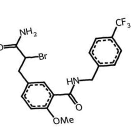 COc1ccc(CC(Br)C(N)=O)cc1C(=O)NCc1ccc(C(F)(F)F)cc1